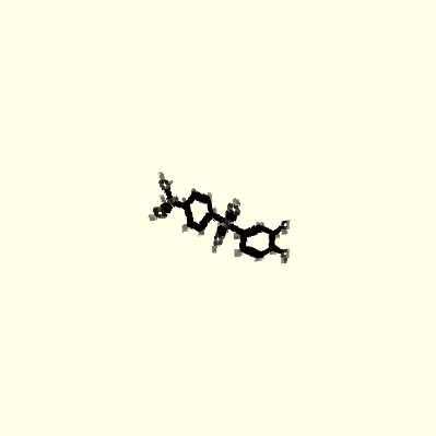 O=[N+]([O-])c1ccc(S(=O)(=O)c2ccc(Cl)c(Cl)c2)cc1